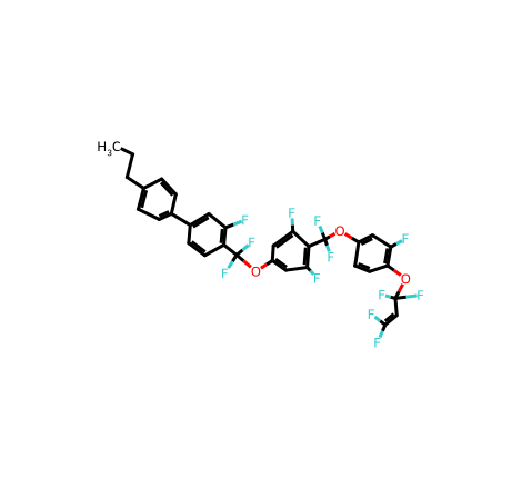 CCCc1ccc(-c2ccc(C(F)(F)Oc3cc(F)c(C(F)(F)Oc4ccc(OC(F)(F)C=C(F)F)c(F)c4)c(F)c3)c(F)c2)cc1